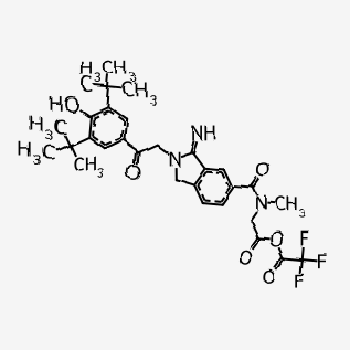 CN(CC(=O)OC(=O)C(F)(F)F)C(=O)c1ccc2c(c1)C(=N)N(CC(=O)c1cc(C(C)(C)C)c(O)c(C(C)(C)C)c1)C2